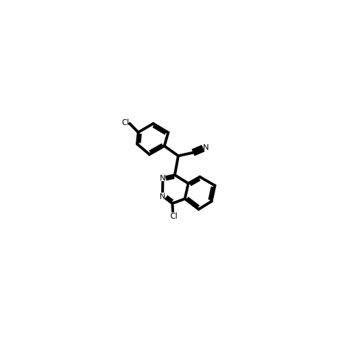 N#CC(c1ccc(Cl)cc1)c1nnc(Cl)c2ccccc12